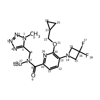 Cn1nnnc1CN(C(=O)c1ccc(N2CC(F)(F)C2)c(OCC2CC2)n1)C(C)(C)C